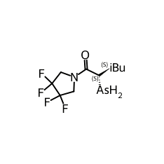 CC[C@H](C)[C@H]([AsH2])C(=O)N1CC(F)(F)C(F)(F)C1